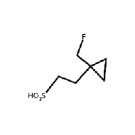 O=S(=O)(O)CCC1(CF)CC1